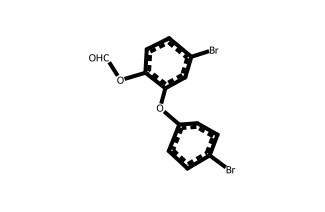 O=COc1ccc(Br)cc1Oc1ccc(Br)cc1